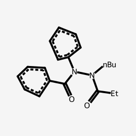 CCCCN(C(=O)CC)N(C(=O)c1ccccc1)c1ccccc1